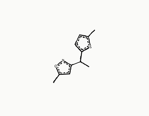 C[C](c1cc(C)on1)c1ccc(C)s1